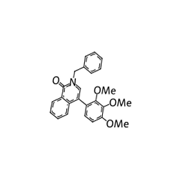 COc1ccc(-c2cn(Cc3ccccc3)c(=O)c3ccccc23)c(OC)c1OC